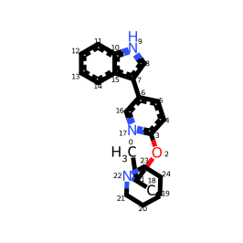 CC1(Oc2ccc(-c3c[nH]c4ccccc34)cn2)CC2CCN1CC2